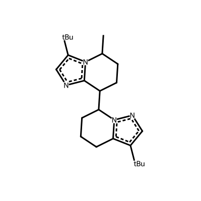 CC1CCC(C2CCCc3c(C(C)(C)C)cnn32)c2ncc(C(C)(C)C)n21